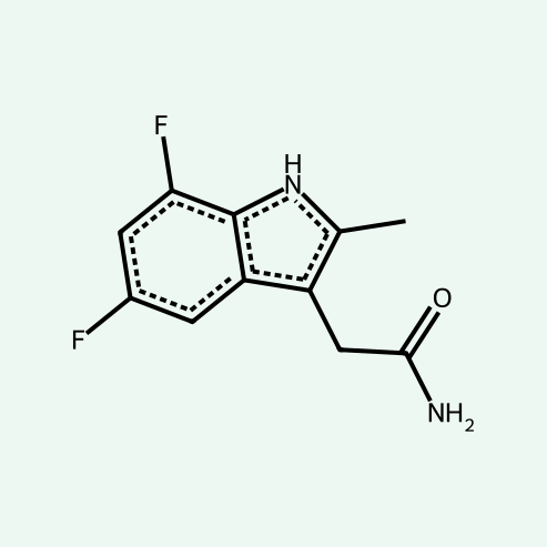 Cc1[nH]c2c(F)cc(F)cc2c1CC(N)=O